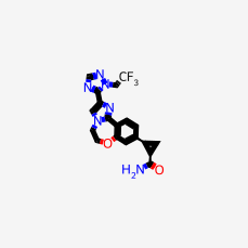 NC(=O)[C@@H]1C[C@@H]1c1ccc2c(c1)OCCn1cc(-c3ncnn3CC(F)(F)F)nc1-2